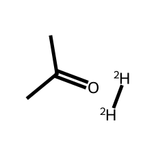 CC(C)=O.[2H][2H]